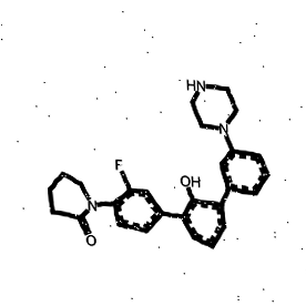 O=C1CCCCN1c1ccc(-c2cccc(-c3cccc(N4CCNCC4)c3)c2O)cc1F